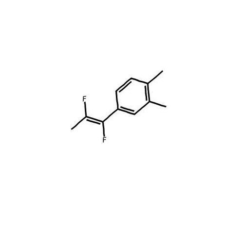 C/C(F)=C(\F)c1ccc(C)c(C)c1